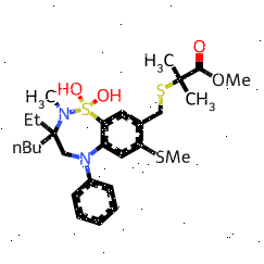 CCCCC1(CC)CN(c2ccccc2)c2cc(SC)c(CSC(C)(C)C(=O)OC)cc2S(O)(O)N1C